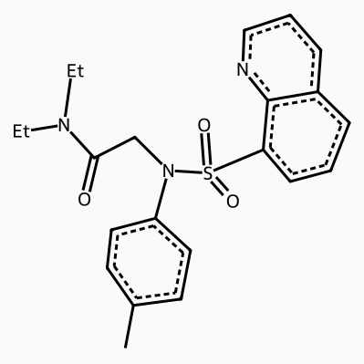 CCN(CC)C(=O)CN(c1ccc(C)cc1)S(=O)(=O)c1cccc2cccnc12